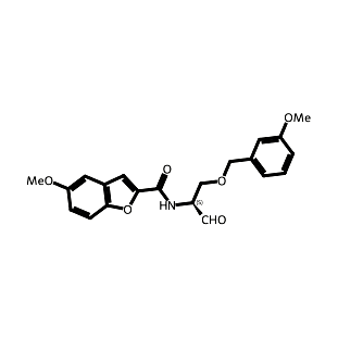 COc1cccc(COC[C@@H](C=O)NC(=O)c2cc3cc(OC)ccc3o2)c1